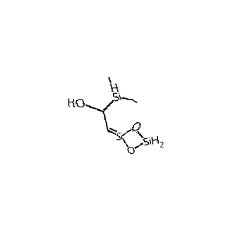 C[SiH](C)C(O)C=[Si]1O[SiH2]O1